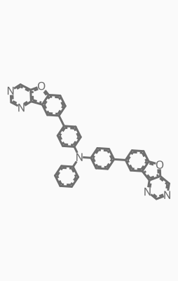 c1ccc(N(c2ccc(-c3ccc4oc5cncnc5c4c3)cc2)c2ccc(-c3ccc4oc5cncnc5c4c3)cc2)cc1